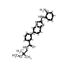 COC(C)(C)CNC(=O)c1cccc(-c2ccc3nc(Nc4ccccc4N)nn3c2)c1